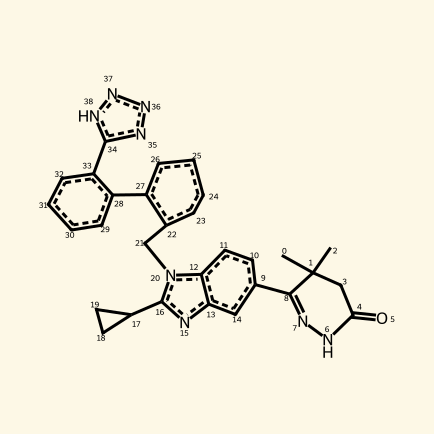 CC1(C)CC(=O)NN=C1c1ccc2c(c1)nc(C1CC1)n2Cc1ccccc1-c1ccccc1-c1nnn[nH]1